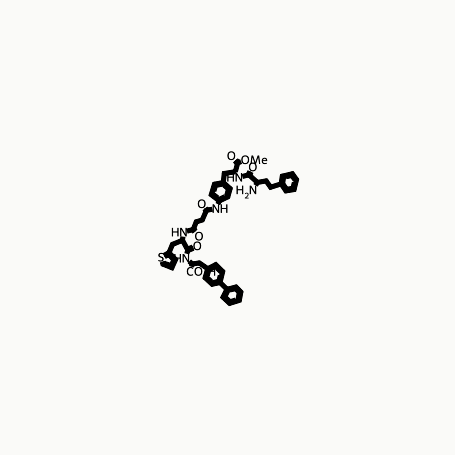 COC(=O)C(Cc1ccc(NC(=O)CCC(=O)NC(Cc2cccs2)C(=O)NC(Cc2ccc(-c3ccccc3)cc2)C(=O)O)cc1)NC(=O)C(N)CCc1ccccc1